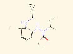 CC(CC=O)N(Nc1cccc(C(F)(F)F)c1NCC1CC1)C(=O)OC(C)(C)C